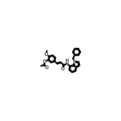 COc1ccc(C=CC(=O)Nc2cccc3ccn(Cc4ccccc4)c23)cc1OC(C)=O